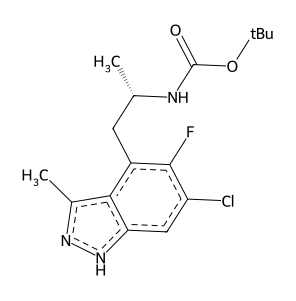 Cc1n[nH]c2cc(Cl)c(F)c(C[C@H](C)NC(=O)OC(C)(C)C)c12